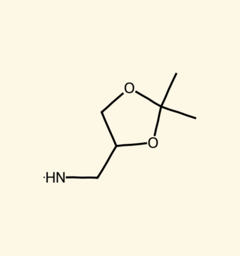 CC1(C)OCC(C[NH])O1